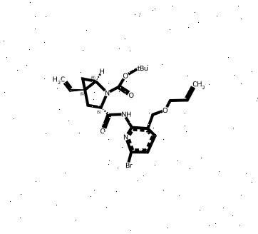 C=CCOCc1ccc(Br)nc1NC(=O)[C@@H]1C[C@]2(C=C)C[C@H]2N1C(=O)OC(C)(C)C